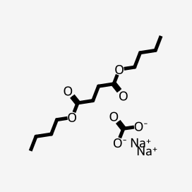 CCCCOC(=O)CCC(=O)OCCCC.O=C([O-])[O-].[Na+].[Na+]